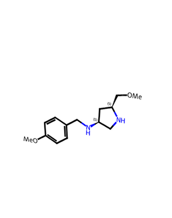 COC[C@@H]1C[C@H](NCc2ccc(OC)cc2)CN1